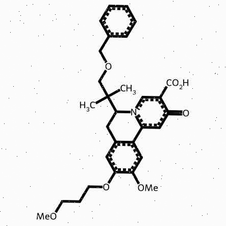 COCCCOc1cc2c(cc1OC)-c1cc(=O)c(C(=O)O)cn1C(C(C)(C)COCc1ccccc1)C2